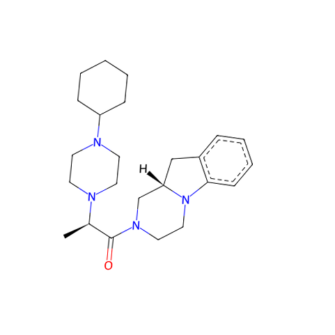 C[C@H](C(=O)N1CCN2c3ccccc3C[C@H]2C1)N1CCN(C2CCCCC2)CC1